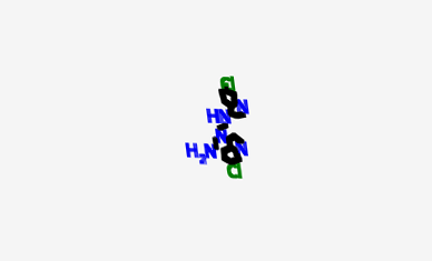 NCCN(CCNc1ccnc2cc(Cl)ccc12)c1ccnc2cc(Cl)ccc12